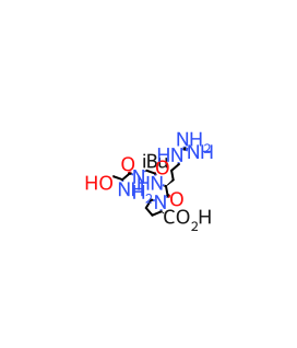 CC[C@H](C)[C@H](NC(=O)[C@@H](N)CO)C(=O)N[C@@H](CCCNC(=N)N)C(=O)N1CCC[C@H]1C(=O)O